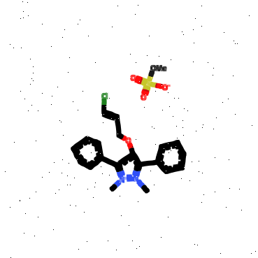 COS(=O)(=O)[O-].Cn1c(-c2ccccc2)c(OCC=CCl)c(-c2ccccc2)[n+]1C